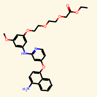 CCOC(=O)COCCOCCOc1cc(Nc2cc(Oc3ccc(N)c4ccccc34)ccn2)cc(OC)c1